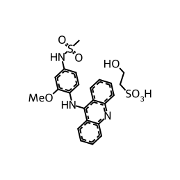 COc1cc(NS(C)(=O)=O)ccc1Nc1c2ccccc2nc2ccccc12.O=S(=O)(O)CCO